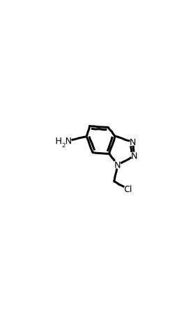 Nc1ccc2nnn(CCl)c2c1